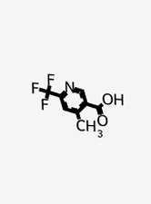 Cc1cc(C(F)(F)F)ncc1C(=O)O